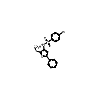 O=C(O)Oc1sc(-c2ccccc2)cc1NS(=O)(=O)c1ccc(Br)cc1